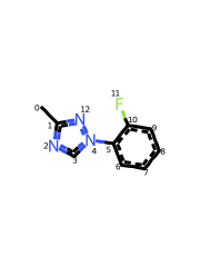 Cc1ncn(-c2ccccc2F)n1